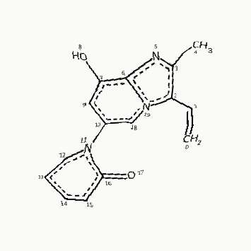 C=Cc1c(C)nc2c(O)cc(-n3ccccc3=O)cn12